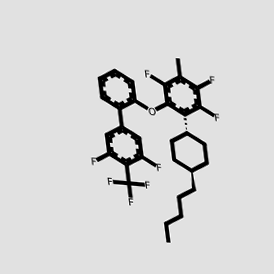 CCCCC[C@H]1CC[C@H](c2c(F)c(F)c(C)c(F)c2Oc2ccccc2-c2cc(F)c(C(F)(F)F)c(F)c2)CC1